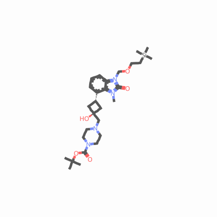 Cn1c(=O)n(COCC[Si](C)(C)C)c2cccc([C@H]3C[C@@](O)(CN4CCN(C(=O)OC(C)(C)C)CC4)C3)c21